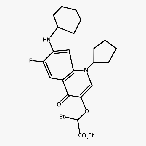 CCOC(=O)C(CC)Oc1cn(C2CCCC2)c2cc(NC3CCCCC3)c(F)cc2c1=O